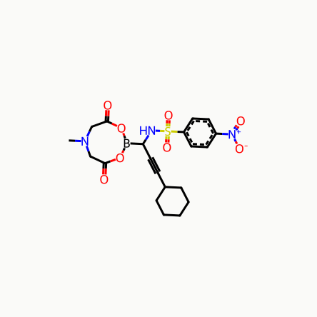 CN1CC(=O)OB(C(C#CC2CCCCC2)NS(=O)(=O)c2ccc([N+](=O)[O-])cc2)OC(=O)C1